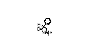 CCC(CCI)(C(=O)NC)c1ccccc1